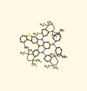 Cc1cc2c(cc1N1c3cc4sc5cccc(C(C)(C)C)c5c4cc3B3c4cc5c(cc4N(c4ccc6c(c4)C(C)(C)CCC6(C)C)c4cc(N(c6ccc(C(C)(C)C)cc6)c6ccc(C(C)(C)C)cc6)cc1c43)C(C)(C)CCC5(C)C)C(C)(C)CCC2(C)C